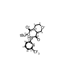 CC(C)(C)OC(=O)N1CCOCC1C(=O)Nc1cccc(C(F)(F)F)n1